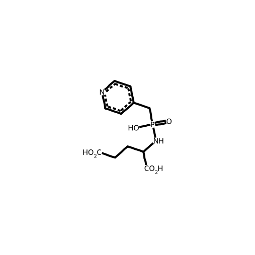 O=C(O)CCC(NP(=O)(O)Cc1ccncc1)C(=O)O